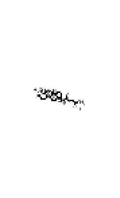 CC(C)CCC(=O)NC1CC[C@H]2[C@@H]3CC[C@H]4N(C)C(=O)C=C[C@]4(C)[C@H]3CC[C@]12C